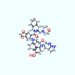 Cn1ccc2cc(N(C(=O)c3cn(-c4cc5c(cc4C(=O)N4Cc6ccccc6C[C@H]4CN4CCOCC4)OCO5)c4c3CCCC4)c3ccc(O)cc3)cnc21